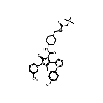 Cc1c(-c2ccnn2-c2ccc(C#N)cc2)n(C(=O)N[C@H]2CC[C@H](CNC(=O)C[N+](C)(C)C)CC2)c(=O)n1-c1cccc(C(F)(F)F)c1